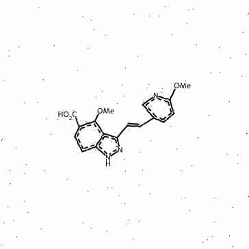 COc1ccc(/C=C/c2n[nH]c3ccc(C(=O)O)c(OC)c23)cn1